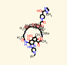 CO[C@H]1/C=C/O[C@@]2(C)Oc3c(C)c(O)c4c(c3C2=O)C2=NC3(CCN(CC(C)C)CC3)NC2=C(NC(=O)/C(C)=C\C=C\[C@H](C)[C@H](O)[C@@H](C)[C@@H](O)[C@@H](C)[C@H](OC(=O)CC(=O)N2CCC([C@@H](O)c3nccn3C)CC2)[C@@H]1C)C4=O